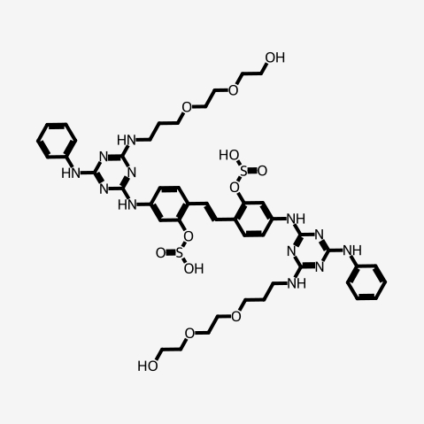 O=S(O)Oc1cc(Nc2nc(NCCCOCCOCCO)nc(Nc3ccccc3)n2)ccc1/C=C/c1ccc(Nc2nc(NCCCOCCOCCO)nc(Nc3ccccc3)n2)cc1OS(=O)O